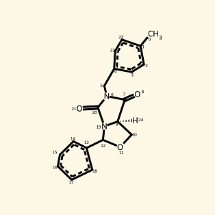 Cc1ccc(CN2C(=O)[C@H]3COC(c4ccccc4)N3C2=O)cc1